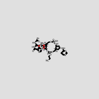 CC(C)C(=O)Nc1nc2c(ncn2[C@@H]2O[C@@H]3CO[P@@](=O)(S)O[C@H]4C[C@H](Nc5ccncn5)C[C@@H]4CO[P@@](=S)(OCCC#N)O[C@@H]2[C@@H]3O[Si](C)(C)C(C)(C)C)c(=O)[nH]1